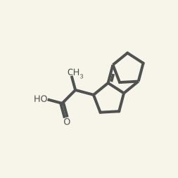 CC(C(=O)O)C1CCC2C1=C1CCC2C1